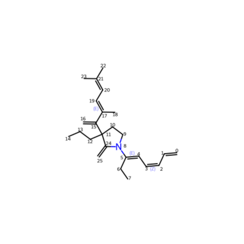 C=C/C=C\C=C(/CC)N1CCC(CCC)(C(=C)/C(C)=C/C=C(C)C)C1=C